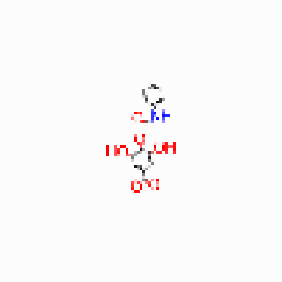 COC(=O)c1cc(O)c(OCC(=O)Nc2ccccc2)c(O)c1